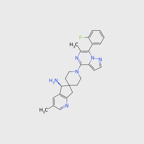 Cc1cnc2c(c1)[C@@H](N)C1(CCN(c3nc(C)c(-c4ccccc4F)n4nccc34)CC1)C2